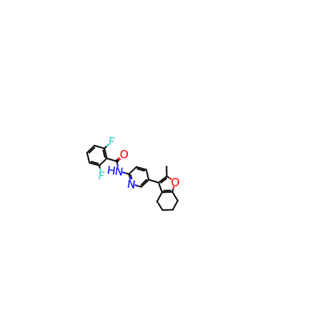 Cc1oc2c(c1-c1ccc(NC(=O)c3c(F)cccc3F)nc1)CCCC2